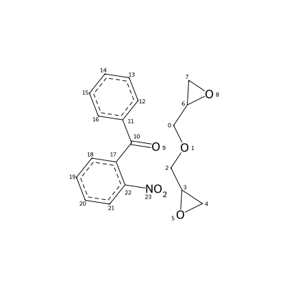 C(OCC1CO1)C1CO1.O=C(c1ccccc1)c1ccccc1[N+](=O)[O-]